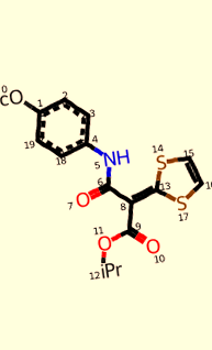 CC(=O)Oc1ccc(NC(=O)C(C(=O)OC(C)C)=C2SC=CS2)cc1